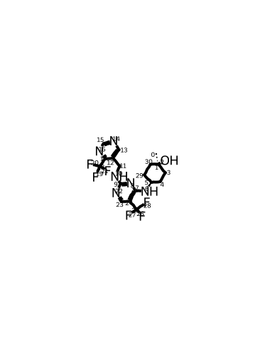 C[C@]1(O)CC[C@@H](Nc2nc(NCc3cncnc3C(F)(F)F)ncc2C(F)(F)F)CC1